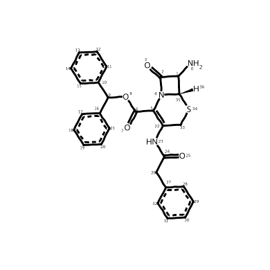 NC1C(=O)N2C(C(=O)OC(c3ccccc3)c3ccccc3)=C(NC(=O)Cc3ccccc3)CS[C@@H]12